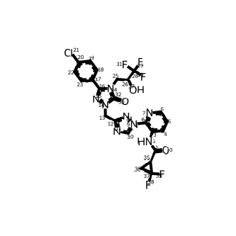 O=C(Nc1cccnc1-n1cnc(Cn2nc(-c3ccc(Cl)cc3)n(CC(O)C(F)(F)F)c2=O)n1)C1CC1(F)F